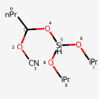 CCCC(OC#N)O[SiH](OC(C)C)OC(C)C